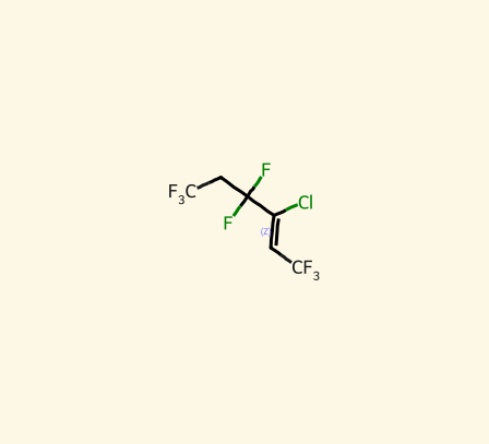 FC(F)(F)/C=C(\Cl)C(F)(F)CC(F)(F)F